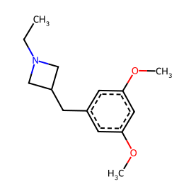 CCN1CC(Cc2cc(OC)cc(OC)c2)C1